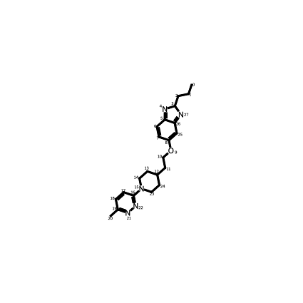 CCCC1N=c2ccc(OCCC3CCN(c4ccc(C)nn4)CC3)cc2=N1